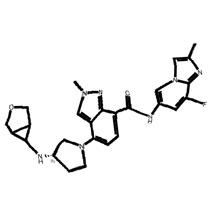 Cc1cn2cc(NC(=O)c3ccc(N4CC[C@H](NC5C6COCC65)C4)c4cn(C)nc34)cc(F)c2n1